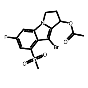 CC(=O)OC1CCn2c1c(Br)c1c(S(C)(=O)=O)cc(F)cc12